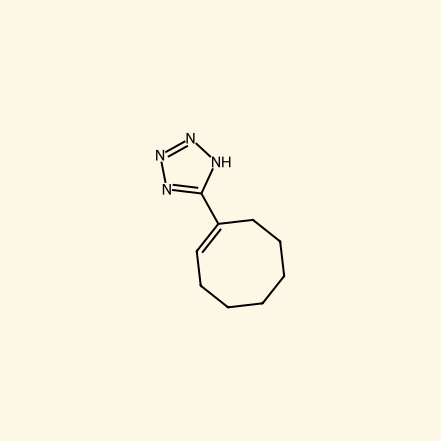 C1=C(c2nnn[nH]2)CCCCCC1